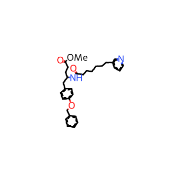 COC(=O)CCC(Cc1ccc(OCc2ccccc2)cc1)NC(=O)CCCCCCc1cccnc1